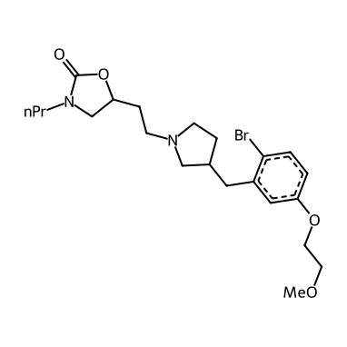 CCCN1CC(CCN2CCC(Cc3cc(OCCOC)ccc3Br)C2)OC1=O